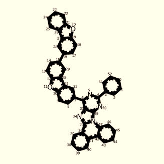 c1ccc(-c2nc(-c3ccc4oc5ccc(-c6ccc7oc8ccccc8c7c6)cc5c4c3)c3nc4c5ccccc5c5ccccc5n4c3n2)cc1